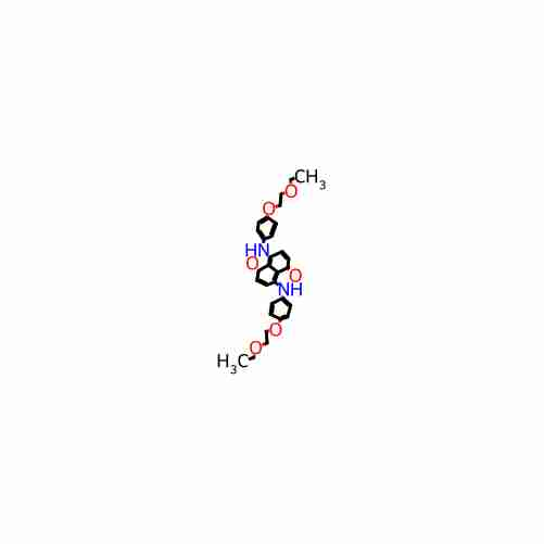 CCOCCOc1ccc(NC2=C3C(=O)C=CC(Nc4ccc(OCCOCC)cc4)=C3C(=O)C=C2)cc1